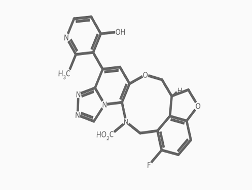 Cc1nccc(O)c1-c1cc2c(n3cnnc13)N(C(=O)O)Cc1c(F)ccc3c1[C@@H](CO3)CO2